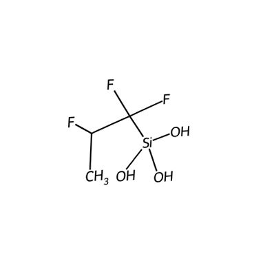 CC(F)C(F)(F)[Si](O)(O)O